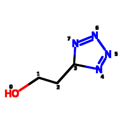 OCCC1N=NN=N1